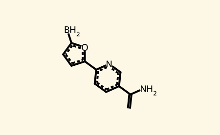 Bc1ccc(-c2ccc(C(=C)N)cn2)o1